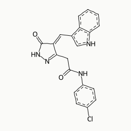 O=C(CC1=NNC(=O)C1=Cc1c[nH]c2ccccc12)Nc1ccc(Cl)cc1